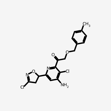 Cc1ccc(COCC(=O)c2nc(C3CC(Cl)=NO3)cc(N)c2Cl)cc1